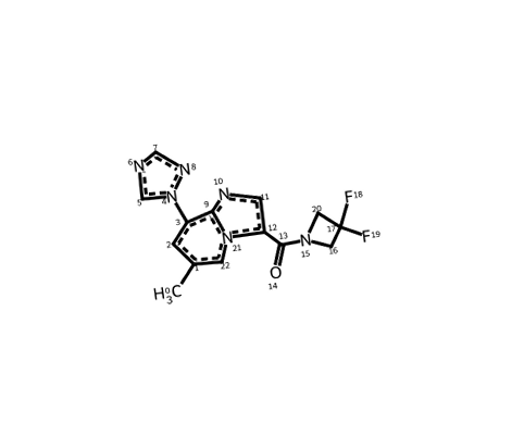 Cc1cc(-n2cncn2)c2ncc(C(=O)N3CC(F)(F)C3)n2c1